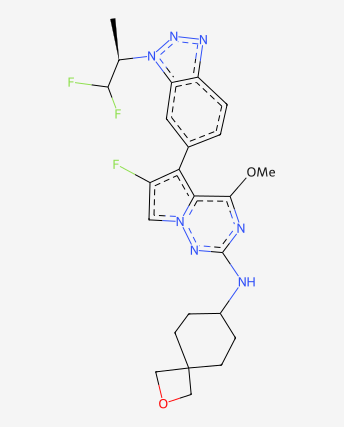 COc1nc(NC2CCC3(CC2)COC3)nn2cc(F)c(-c3ccc4nnn([C@H](C)C(F)F)c4c3)c12